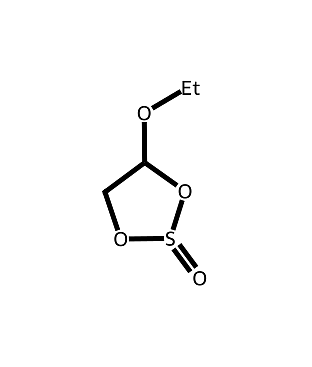 CCOC1COS(=O)O1